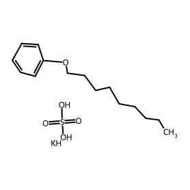 CCCCCCCCCOc1ccccc1.O=S(=O)(O)O.[KH]